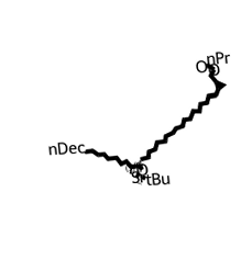 CCCCCCCCCCCCCCCCCC[C@H](C)[C@H](CCCCCCCCCCCCCCCCC=CC1CC1COC(=O)CCC)O[Si](C)(C)C(C)(C)C